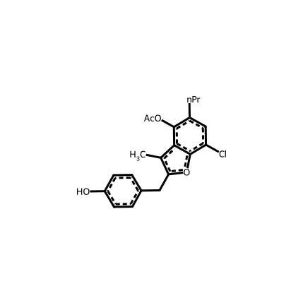 CCCc1cc(Cl)c2oc(Cc3ccc(O)cc3)c(C)c2c1OC(C)=O